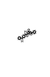 O=C(Nc1ccc(Nc2ccccc2)cc1)C1CC(=O)N(CC(O)c2ccccc2)C1